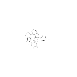 CCCCc1ccc(C2(C)C=c3ccccc3=C2[SiH](C)C2=c3ccccc3=CC2(C)c2ccc(CCCC)cc2)cc1